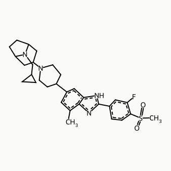 Cc1cc(C2CCN(C3CC4CCC(C3)N4CC3CC3)CC2)cc2[nH]c(-c3ccc(S(C)(=O)=O)c(F)c3)nc12